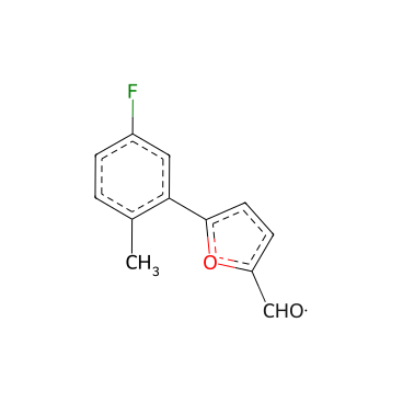 Cc1ccc(F)cc1-c1ccc([C]=O)o1